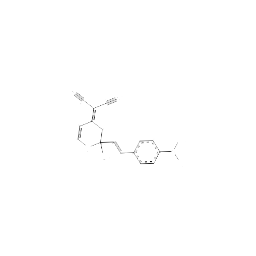 CN(C)c1ccc(C=CC2(C)CC(=C(C#N)C#N)C=CO2)cc1